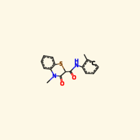 Cc1ccccc1NC(=O)C1Sc2ccccc2N(C)C1=O